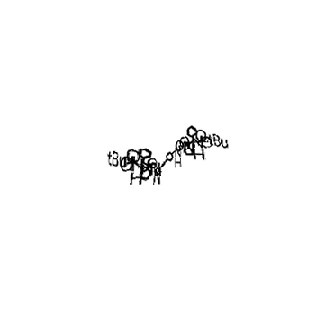 CC(C)(C)OC(=O)N[C@@H](C(=O)N1CCC[C@H]1C(=O)NCc1ccc(C#Cc2cnc([C@@H]3CCCN3C(=O)[C@H](NC(=O)OC(C)(C)C)c3ccccc3)[nH]2)cc1)c1ccccc1